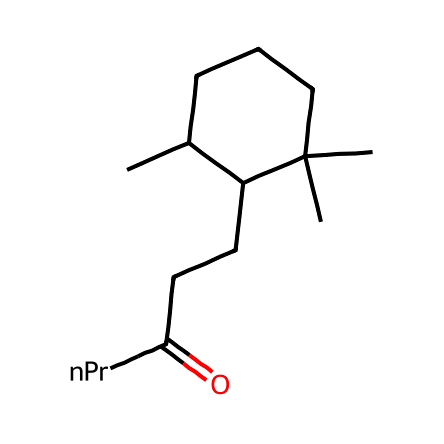 CCCC(=O)CCC1C(C)CCCC1(C)C